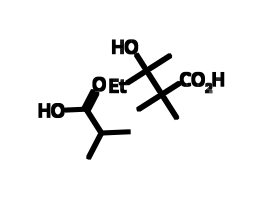 CC(C)C(=O)O.CCC(C)(O)C(C)(C)C(=O)O